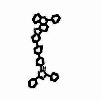 c1ccc(C2=NC(c3ccccc3)NC(c3ccc(-c4ccc(-c5ccc6sc7c(ccc8c(-c9ccccc9)nc9ccccc9c87)c6c5)cc4)cc3)=N2)cc1